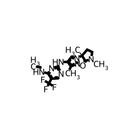 CCNc1nc(Nc2cn([C@@]3(C)CCN(C)C3=O)nc2C)ncc1C(F)(F)F